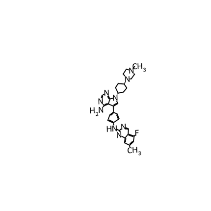 Cc1cc(F)c2cnc(Nc3ccc(-c4cn([C@H]5CC[C@H](N6CCN(C)CC6)CC5)c5ncnc(N)c45)cc3)nc2c1